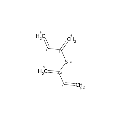 C=CC(=C)SC(=C)C=C